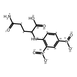 NC(=O)CCC(Nc1ccc([N+](=O)[O-])cc1[N+](=O)[O-])C(=O)O